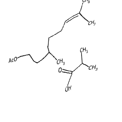 CC(=O)OCCC(C)CCC=C(C)C.CC(C)C(=O)O